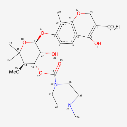 CCOC(=O)C1=C(O)c2ccc(O[C@@H]3OC(C)(C)[C@H](OC)[C@@H](OC(=O)N4CCN(C)CC4)[C@H]3O)c(C)c2OC1